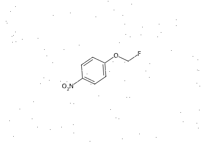 O=[N+]([O-])c1ccc(OCF)cc1